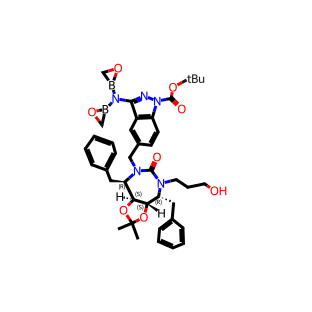 CC(C)(C)OC(=O)n1nc(N(B2CO2)B2CO2)c2cc(CN3C(=O)N(CCCO)[C@H](Cc4ccccc4)[C@@H]4OC(C)(C)O[C@H]4[C@H]3Cc3ccccc3)ccc21